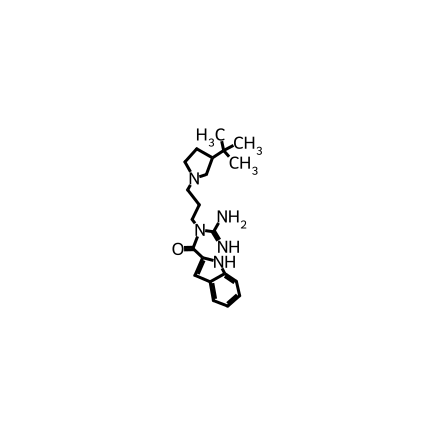 CC(C)(C)C1CCN(CCCN(C(=N)N)C(=O)c2cc3ccccc3[nH]2)C1